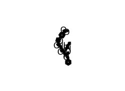 CCCCCC[C@H](CN(C=O)OCc1ccccc1)C(=O)NCNC(=O)c1ccc(-c2ccc(C(=O)OC)cc2)o1